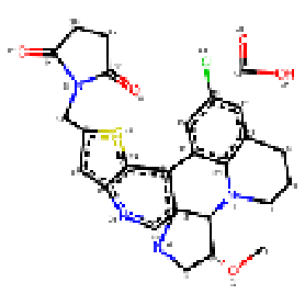 CO[C@@H]1CNC[C@H]1N1CCCc2cc(Cl)cc(-c3ccnc4cc(CN5C(=O)CCC5=O)sc34)c21.O=CO